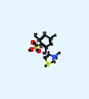 C[n+]1ccsc1.Cc1cc(C)c(S(=O)(=O)[O-])c(C)c1